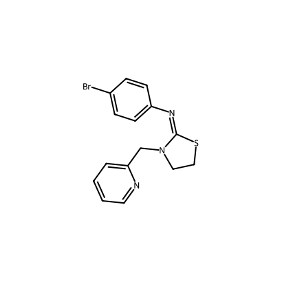 Brc1ccc(N=C2SCCN2Cc2ccccn2)cc1